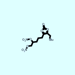 CC(C)(C)Cc1oc(=O)oc1CCCC(CO[N+](=O)[O-])O[N+](=O)[O-]